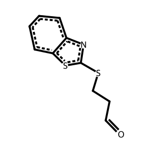 O=CCCSc1nc2ccccc2s1